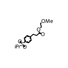 COCCOC(=O)CCc1ccc(S(=O)(=O)C(C)C)cc1